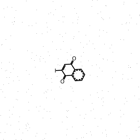 O=C1C=C(I)C(=O)c2ccccc21